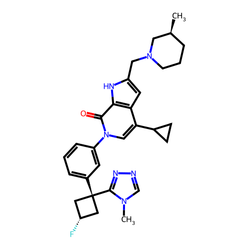 C[C@H]1CCCN(Cc2cc3c(C4CC4)cn(-c4cccc([C@]5(c6nncn6C)C[C@@H](F)C5)c4)c(=O)c3[nH]2)C1